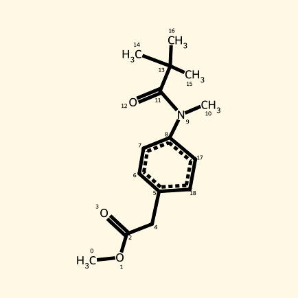 COC(=O)Cc1ccc(N(C)C(=O)C(C)(C)C)cc1